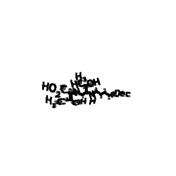 CCCCCCCCCCCCCCNC(CNC(C(=O)O)C(C)O)C(C)O